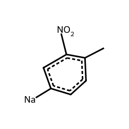 Cc1cc[c]([Na])cc1[N+](=O)[O-]